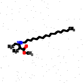 CCCCCCCCCCCCCCCCNC(CC)=C(C)C(=O)OC